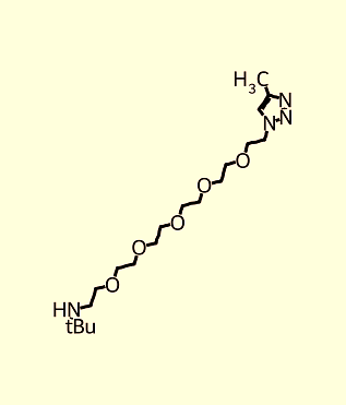 Cc1cn(CCOCCOCCOCCOCCOCCNC(C)(C)C)nn1